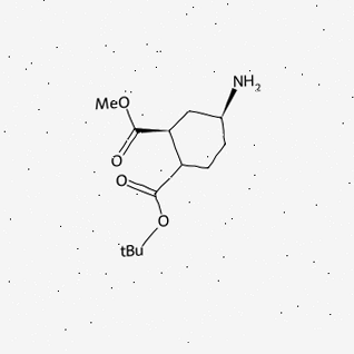 COC(=O)[C@H]1C[C@@H](N)CCC1C(=O)OC(C)(C)C